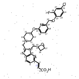 O=C(O)/C=C/c1ccc2nc(CN3CCC(Oc4cccc(COc5ccc(Cl)cc5F)n4)CC3)n(C[C@@H]3CCO3)c2n1